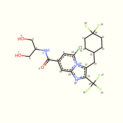 O=C(NC(CO)CO)c1cc(Cl)n2c(CC3CCC(F)(F)CC3)c(C(F)(F)F)nc2c1